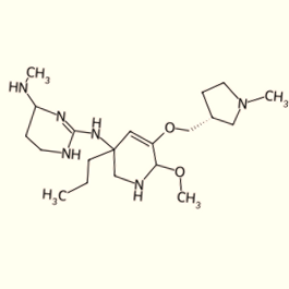 CCCC1(NC2=NC(NC)CCN2)C=C(OC[C@@H]2CCN(C)C2)C(OC)NC1